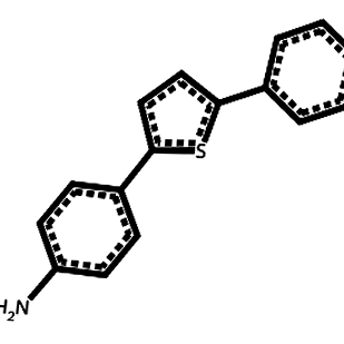 Nc1ccc(-c2ccc(-c3ccccc3)s2)cc1